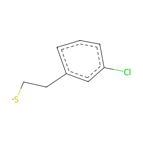 [S]CCc1cccc(Cl)c1